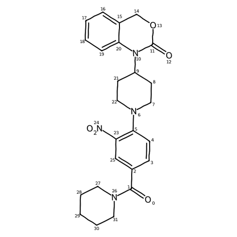 O=C(c1ccc(N2CCC(N3C(=O)OCc4ccccc43)CC2)c([N+](=O)[O-])c1)N1CCCCC1